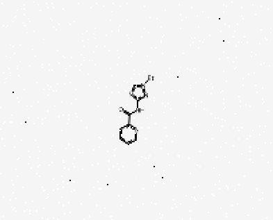 CCn1cnc(NC(=O)c2ccccn2)n1